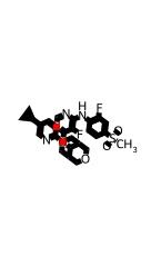 CS(=O)(=O)c1ccc(Nc2ncnc(OC3C4COCC3CN(c3ccc(C5CC5)cn3)C4)c2F)c(F)c1